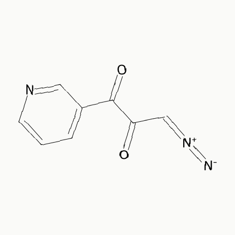 [N-]=[N+]=CC(=O)C(=O)c1cccnc1